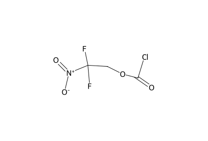 O=C(Cl)OCC(F)(F)[N+](=O)[O-]